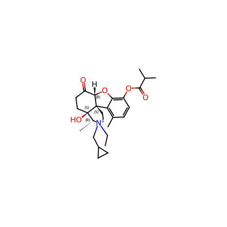 CC[N+]1(CC2CC2)CC[C@]23c4c(C)ccc(OC(=O)C(C)C)c4O[C@H]2C(=O)CC[C@@]3(O)[C@H]1C